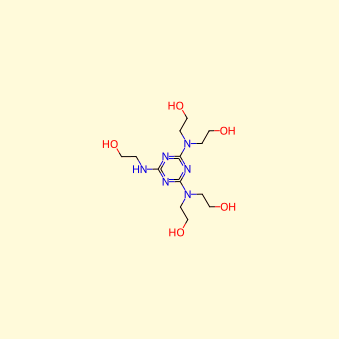 OCCNc1nc(N(CCO)CCO)nc(N(CCO)CCO)n1